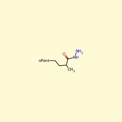 CCCCCCCC(C)C(=O)NN